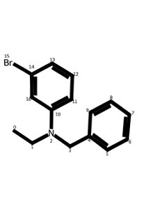 CCN(Cc1ccccc1)c1cccc(Br)c1